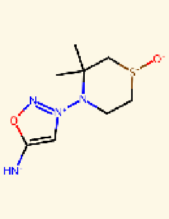 CC1(C)C[S+]([O-])CCN1[n+]1cc([NH-])on1